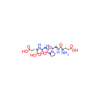 C[C@H](NC(=O)[C@@H]1CCCN1C(=O)[C@H](C)NC(=O)[C@@H](N)CCC(=O)O)C(=O)N[C@@H](CCC(=O)O)C(=O)O